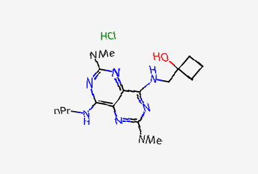 CCCNc1nc(NC)nc2c(NCC3(O)CCC3)nc(NC)nc12.Cl